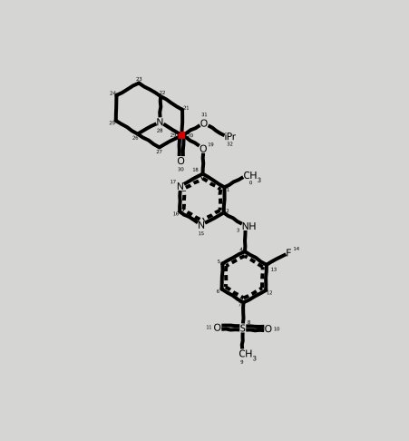 Cc1c(Nc2ccc(S(C)(=O)=O)cc2F)ncnc1OC1CC2CCCC(C1)N2C(=O)OC(C)C